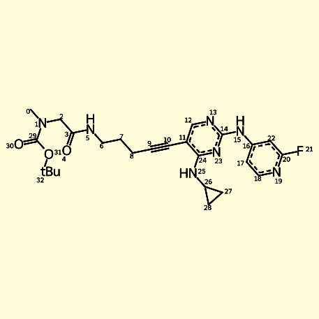 CN(CC(=O)NCCCC#Cc1cnc(Nc2ccnc(F)c2)nc1NC1CC1)C(=O)OC(C)(C)C